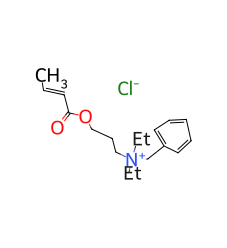 CC=CC(=O)OCCC[N+](CC)(CC)Cc1ccccc1.[Cl-]